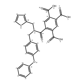 O=C(O)c1cc(C(=O)O)c(C(=O)N(Cc2ccc(Oc3ccccc3)cc2)Cc2cccs2)cc1C(=O)O